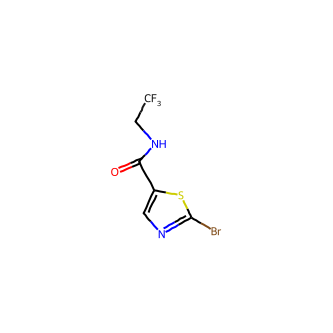 O=C(NCC(F)(F)F)c1cnc(Br)s1